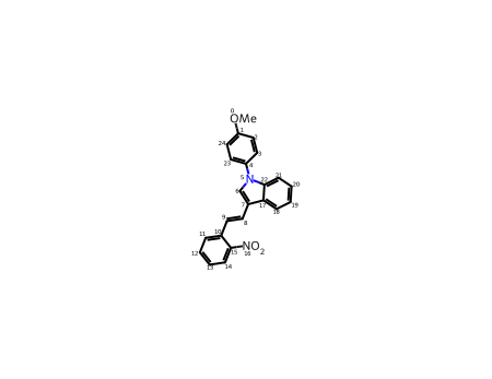 COc1ccc(-n2cc(C=Cc3ccccc3[N+](=O)[O-])c3ccccc32)cc1